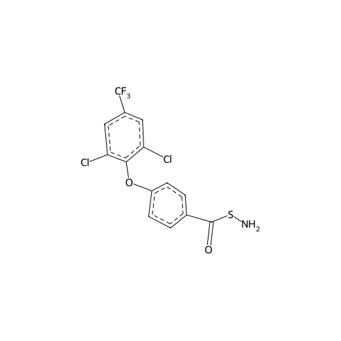 NSC(=O)c1ccc(Oc2c(Cl)cc(C(F)(F)F)cc2Cl)cc1